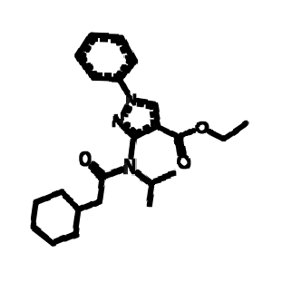 CCOC(=O)c1cn(-c2ccccc2)nc1N(C(=O)CC1CCCCC1)C(C)C